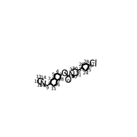 O=C(Oc1ccc2cc(CN3CCCC3)ccc2c1)N1CCC(c2ccc(Cl)cc2)CC1